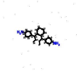 CCC(c1ccc(N)cc1)c1ccccc1C(CC)c1ccc(N)cc1